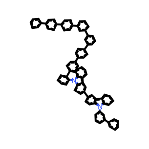 c1ccc(-c2ccc(-c3ccc(-c4cccc(-c5cccc(-c6ccc(-c7ccc(-c8ccccc8-n8c9ccccc9c9cc(-c%10ccc%11c(c%10)c%10ccccc%10n%11-c%10cccc(-c%11ccccc%11)c%10)ccc98)cc7)cc6)c5)c4)cc3)cc2)cc1